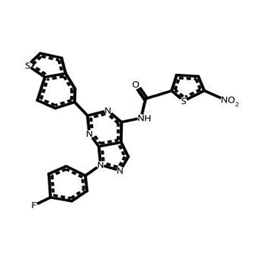 O=C(Nc1nc(-c2ccc3sccc3c2)nc2c1cnn2-c1ccc(F)cc1)c1ccc([N+](=O)[O-])s1